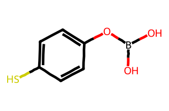 OB(O)Oc1ccc(S)cc1